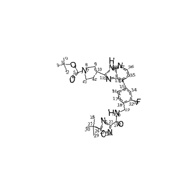 CC(C)(C)OC(=O)N1CC=C(c2nc3c(-c4ccc(CNC(=O)c5noc(C(C)(C)C)n5)c(F)c4)ccnc3[nH]2)CC1